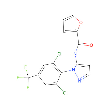 O=C(Nc1ccnn1-c1c(Cl)cc(C(F)(F)F)cc1Cl)c1ccco1